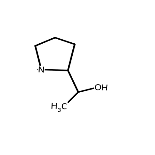 CC(O)C1CCC[N]1